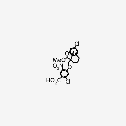 COC(OC)C1(COc2cc(Cl)c(C(=O)O)cc2[N+](=O)[O-])CCCc2cc(Cl)ccc21